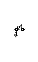 Fc1cccc(Nc2ncc3cc(Br)c(OCc4cncs4)cc3n2)c1